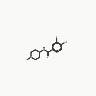 CN1CCC(NC(=O)c2ccc(N)c(F)c2)CC1